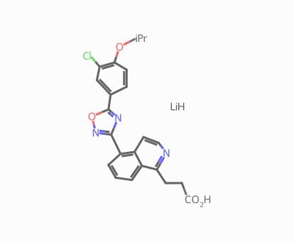 CC(C)Oc1ccc(-c2nc(-c3cccc4c(CCC(=O)O)nccc34)no2)cc1Cl.[LiH]